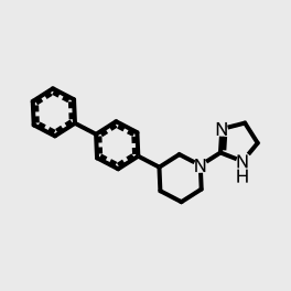 c1ccc(-c2ccc(C3CCCN(C4=NCCN4)C3)cc2)cc1